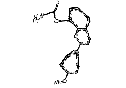 COc1ccc(-c2ccc3cccc(OC(N)=O)c3n2)cc1